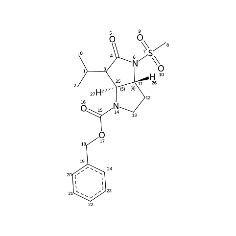 CC(C)C1C(=O)N(S(C)(=O)=O)[C@@H]2CCN(C(=O)OCc3ccccc3)[C@@H]12